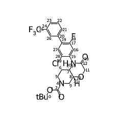 CC(C)(C)OC(=O)N1CC[C@@H]2[C@@H](C1)OCC(=O)N2c1cc(F)c(-c2cccc(C(F)(F)F)c2)cc1Cl